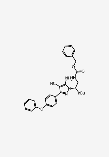 CCCCC(CNC(=O)OCc1ccccc1)n1nc(-c2ccc(Oc3ccccc3)cc2)c(C#N)c1N